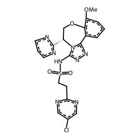 COc1cccc2c1OC[C@@H](c1ncccn1)n1c(NS(=O)(=O)CCc3ncc(Cl)cn3)nnc1-2